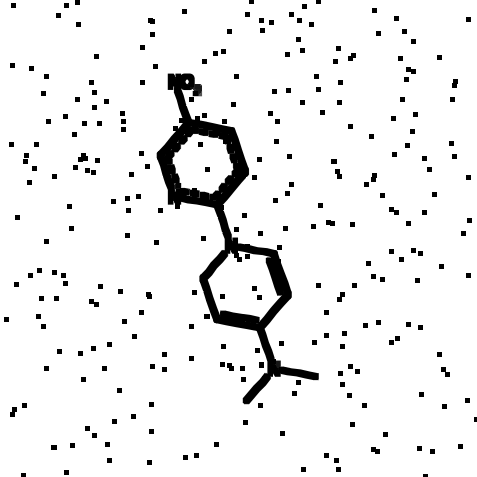 CN(C)C1=CCN(c2ccc([N+](=O)[O-])cn2)C=C1